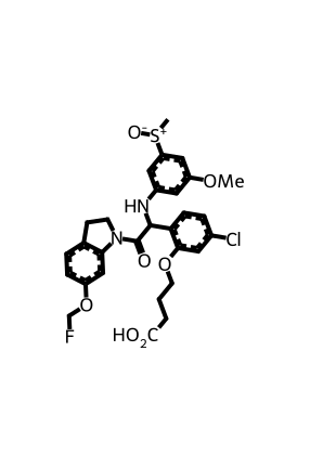 COc1cc(NC(C(=O)N2CCc3ccc(OCF)cc32)c2ccc(Cl)cc2OCCCC(=O)O)cc([S+](C)[O-])c1